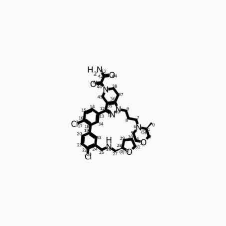 C[C@H]1COCCN1CCCn1nc(-c2ccc(Cl)c(-c3ccc(Cl)c(CNC[C@H]4CCCO4)c3)c2)c2c1CCN(C(=O)C(N)=O)C2